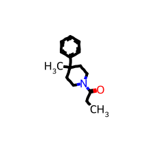 CCC(=O)N1CCC(C)(c2ccccc2)CC1